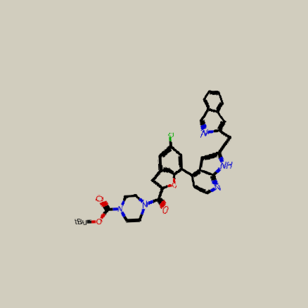 CC(C)(C)OC(=O)N1CCN(C(=O)C2Cc3cc(Cl)cc(-c4ccnc5[nH]c(Cc6cc7ccccc7cn6)cc45)c3O2)CC1